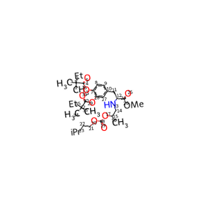 CCC(C)(C)C(=O)Oc1ccc(C[C@H](NCC(C)OC(=O)OCCC(C)C)C(=O)OC)cc1OC(=O)C(C)(C)CC